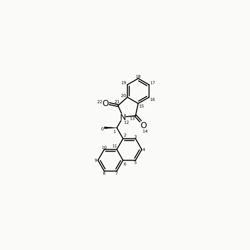 C[C@H](c1cccc2ccccc12)N1C(=O)c2ccccc2C1=O